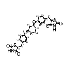 O=C1NC(=O)C(Cc2ccc(OC3CCCC(Oc4ccc(CC5SC(=O)NC5=O)cc4)C3)cc2)S1